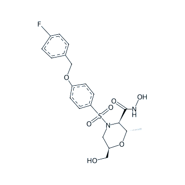 C[C@@H]1O[C@@H](CO)CN(S(=O)(=O)c2ccc(OCc3ccc(F)cc3)cc2)[C@H]1C(=O)NO